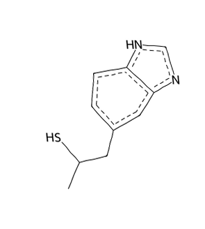 CC(S)Cc1ccc2[nH]cnc2c1